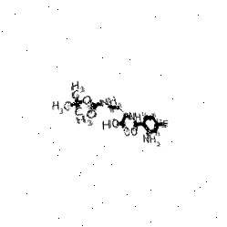 CC(C)(C)OC(=O)NCC[C@H](NC(=O)c1ccc(F)cc1N)C(=O)O